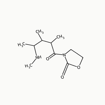 CNC(C)C(C)C(C)C(=O)N1CCOC1=O